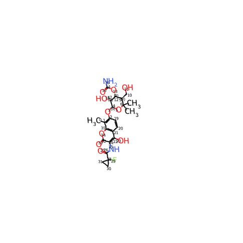 Cc1c(O[C@@H]2OC(C)(C)[C@H](CO)[C@@H](OC(N)=O)[C@H]2O)ccc2c(O)c(NC(=O)C3(F)CC3)c(=O)oc12